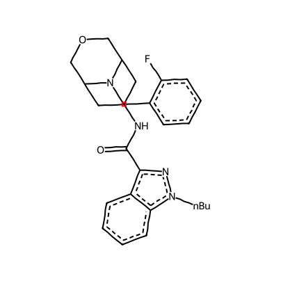 CCCCn1nc(C(=O)NC2CC3COCC(C2)N3Cc2ccccc2F)c2ccccc21